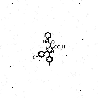 Cc1ccc(-c2nc(C(=O)O)c(C(=O)NN3CCCCC3)nc2-c2ccc(Cl)cc2)cc1